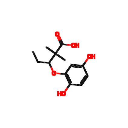 CCC(Oc1cc(O)ccc1O)C(C)(C)C(=O)O